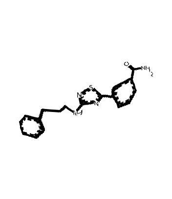 NC(=O)c1cccc(-c2nc(NCCCc3ccccc3)ns2)c1